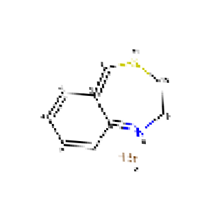 Br.C1=c2ccccc2=NCCS1